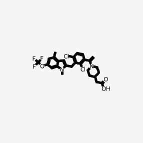 C=C(c1ccc(Cl)c(Cc2cc3c(C)cc(OC(F)(F)F)cc3n2C)c1Cl)N1CCC(CC(=O)O)CC1